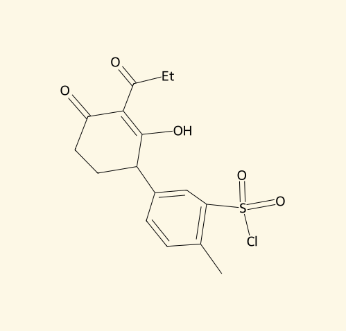 CCC(=O)C1=C(O)C(c2ccc(C)c(S(=O)(=O)Cl)c2)CCC1=O